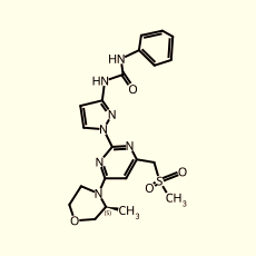 C[C@H]1COCCN1c1cc(CS(C)(=O)=O)nc(-n2ccc(NC(=O)Nc3ccccc3)n2)n1